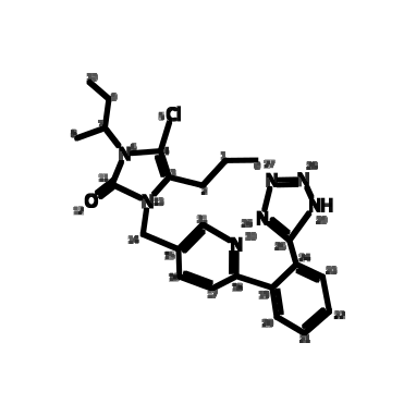 CCCc1c(Cl)n(C(C)CC)c(=O)n1Cc1ccc(-c2ccccc2-c2nnn[nH]2)nc1